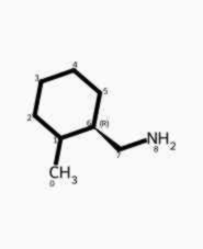 CC1CCCC[C@H]1CN